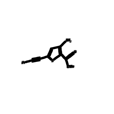 Bc1cc(C#CC(C)C)sc1C(=O)OC